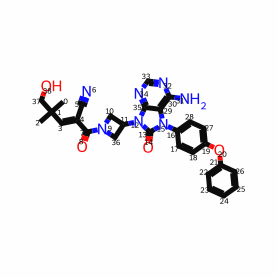 CC(C)(C=C(C#N)C(=O)N1CC(n2c(=O)n(-c3ccc(Oc4ccccc4)cc3)c3c(N)ncnc32)C1)CO